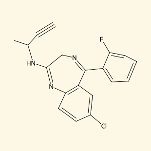 C#CC(C)NC1=Nc2ccc(Cl)cc2C(c2ccccc2F)=NC1